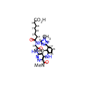 CNC(=O)c1nnc(NC(=O)CNC(=O)CCCCCCC(=O)O)cc1Nc1cccc(-c2ncn(C)n2)c1OC